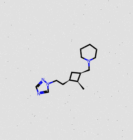 C[C@H]1[C@@H](CCn2cncn2)C[C@H]1CN1CCCCC1